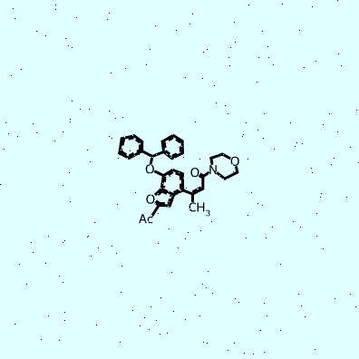 CC(=O)c1cc2c(/C(C)=C\C(=O)N3CCOCC3)ccc(OC(c3ccccc3)c3ccccc3)c2o1